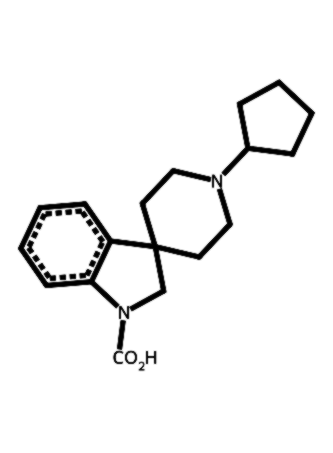 O=C(O)N1CC2(CCN(C3CCCC3)CC2)c2ccccc21